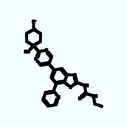 CCNC(=O)Nc1nc2cc(-c3cnc(C4(O)CC[S+]([O-])CC4)nc3)cc(-c3ccccn3)c2s1